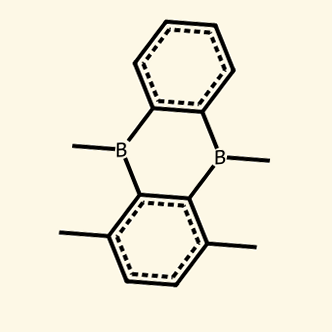 CB1c2ccccc2B(C)c2c(C)ccc(C)c21